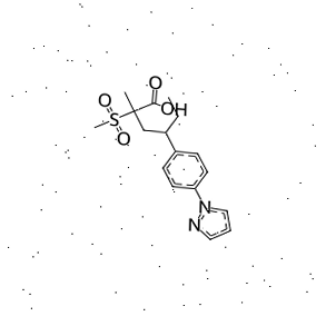 CCC(CC(C)(C(=O)O)S(C)(=O)=O)c1ccc(-n2cccn2)cc1